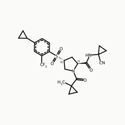 CC1(C(=O)N2C[C@H](S(=O)(=O)c3ccc(C4CC4)cc3C(F)(F)F)C[C@H]2C(=O)NC2(C#N)CC2)CC1